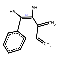 C=CC(=C)/C(S)=C(/S)c1ccccc1